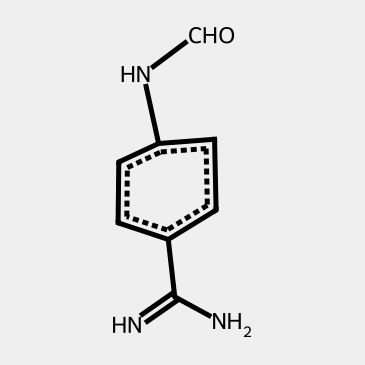 N=C(N)c1ccc(NC=O)cc1